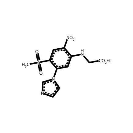 CCOC(=O)CNc1cc(-n2ccnc2)c(S(C)(=O)=O)cc1[N+](=O)[O-]